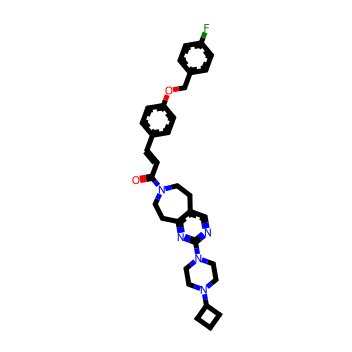 O=C(/C=C/c1ccc(OCc2ccc(F)cc2)cc1)N1CCc2cnc(N3CCN(C4CCC4)CC3)nc2CC1